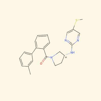 CSc1cnc(N[C@@H]2CCN(C(=O)c3ccccc3-c3cccc(C)c3)C2)nc1